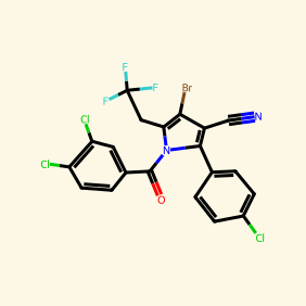 N#Cc1c(Br)c(CC(F)(F)F)n(C(=O)c2ccc(Cl)c(Cl)c2)c1-c1ccc(Cl)cc1